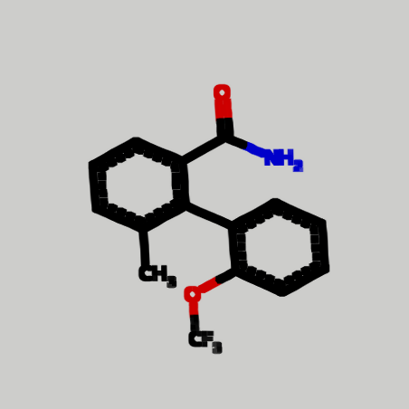 Cc1cccc(C(N)=O)c1-c1ccccc1OC(F)(F)F